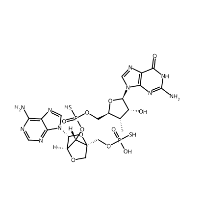 C[C@H]1[C@@H](O)[C@H](n2cnc3c(=O)[nH]c(N)nc32)O[C@@H]1COP(=O)(S)O[C@H]1[C@H]2OC[C@]1(COP(=O)(O)S)O[C@H]2n1cnc2c(N)ncnc21